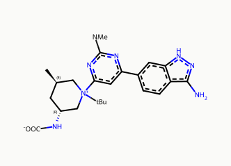 CNc1nc(-c2ccc3c(N)n[nH]c3c2)cc([N+]2(C(C)(C)C)C[C@H](C)C[C@@H](NC(=O)[O-])C2)n1